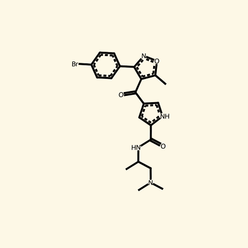 Cc1onc(-c2ccc(Br)cc2)c1C(=O)c1c[nH]c(C(=O)NC(C)CN(C)C)c1